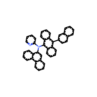 c1ccc(N(c2c3ccccc3c(-c3ccc4ccccc4c3)c3ccccc23)c2cc3ccccc3c3ccccc23)nc1